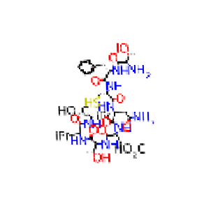 CC(C)[C@H](NC(=O)[C@@H](NC(=O)[C@@H](NC(=O)[C@H](CC(=O)O)NC(=O)[C@H](CC(N)=O)NC(=O)[C@H](CS)NC(=O)[C@H](Cc1ccccc1)NC(=O)[C@@H](N)[C@@H](C)O)[C@@H](C)O)C(C)C)C(=O)O